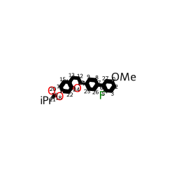 COc1ccc(F)c(-c2ccc([C@@H]3CCc4ccc(OC(=O)C(C)C)cc4O3)cc2)c1